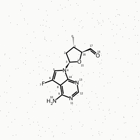 C[C@H]1C[C@H](n2cc(F)c3c(N)ncnc32)O[C@@H]1C=O